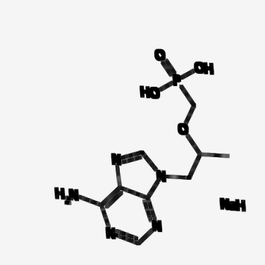 CC(Cn1cnc2c(N)ncnc21)OCP(=O)(O)O.[NaH]